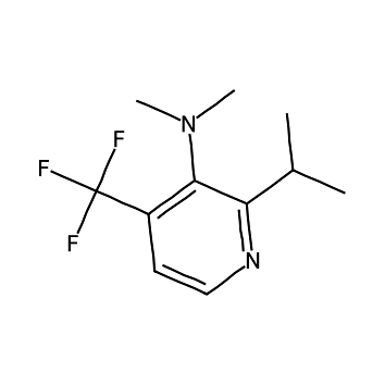 CC(C)c1nccc(C(F)(F)F)c1N(C)C